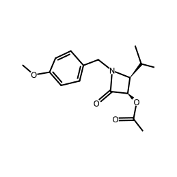 COc1ccc(CN2C(=O)[C@H](OC(C)=O)[C@@H]2C(C)C)cc1